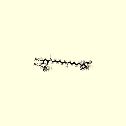 CC(=O)OCC(CC(COP(=O)(O)O)NCCCCCCNCCCCCC1SC[C@@H]2NC(=O)N[C@H]12)OC(C)=O